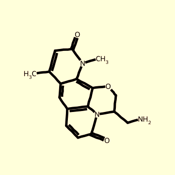 Cc1cc(=O)n(C)c2c3c4c(ccc(=O)n4C(CN)CO3)cc12